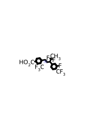 CC(F)(F)C(/C=C/c1ccc(C(=O)O)c(C(F)(F)F)c1)c1ccc(C(F)(F)F)c(F)c1